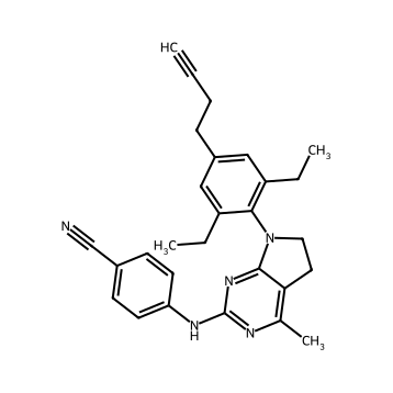 C#CCCc1cc(CC)c(N2CCc3c(C)nc(Nc4ccc(C#N)cc4)nc32)c(CC)c1